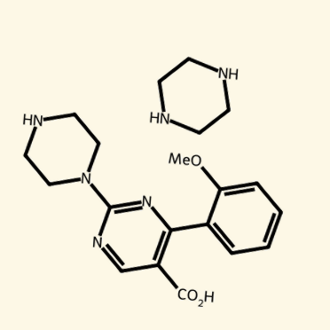 C1CNCCN1.COc1ccccc1-c1nc(N2CCNCC2)ncc1C(=O)O